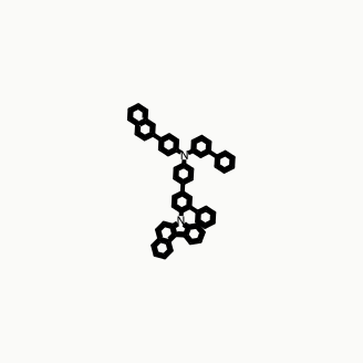 c1ccc(-c2cccc(N(c3ccc(-c4ccc(-n5c6ccccc6c6c7ccccc7ccc65)c(-c5ccccc5)c4)cc3)c3ccc(-c4ccc5ccccc5c4)cc3)c2)cc1